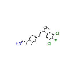 N=CC1CCc2cc(/C=C/C(c3cc(Cl)c(F)c(Cl)c3)C(F)(F)F)ccc21